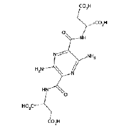 Nc1nc(C(=O)N[C@H](CC(=O)O)C(=O)O)c(N)nc1C(=O)N[C@H](CC(=O)O)C(=O)O